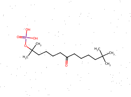 CC(C)(C)CCCCC(=O)CCCCC(C)(C)OP(=O)(O)O